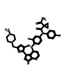 CN1CCN(Cc2cc(Br)c(-c3n[nH]c4nccc(Oc5ccc(N(C(=O)C6(C(N)=O)CC6)c6ccc(F)cc6)cc5F)c34)o2)CC1